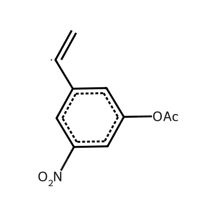 C=[C]c1cc(OC(C)=O)cc([N+](=O)[O-])c1